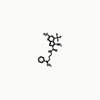 Cc1cc(C(F)(F)F)c2c(N)c(C(=O)NCCCN(C)c3ccccc3)sc2n1